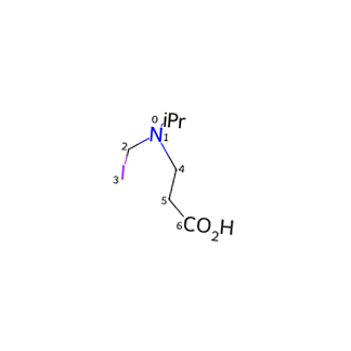 CC(C)N(CI)CCC(=O)O